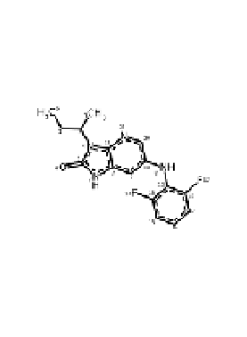 CCC(C)n1c(=O)[nH]c2cc(Nc3c(F)cccc3F)cnc21